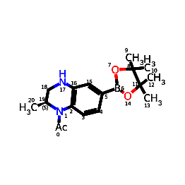 CC(=O)N1c2ccc(B3OC(C)(C)C(C)(C)O3)cc2NC[C@@H]1C